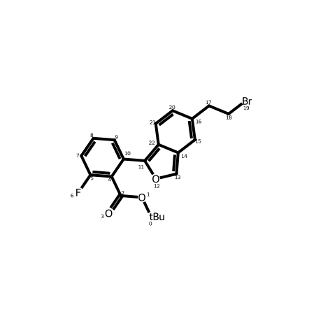 CC(C)(C)OC(=O)c1c(F)cccc1-c1occ2cc(CCBr)ccc12